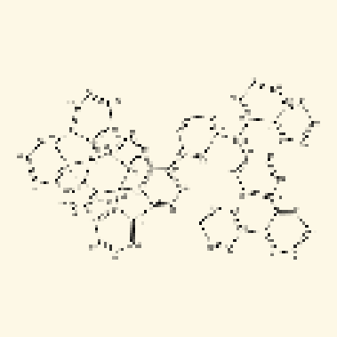 c1ccc(-c2ccccc2-c2ccc(N(c3cccc(-c4ccc5c(c4)C4(c6ccccc6-5)c5ccccc5C5(c6ccccc6-c6ccccc65)c5ccccc54)c3)c3cccc4ccccc34)cc2)cc1